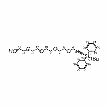 CC(C)(C)[Si](C#CCOCCOCCOCCOCCO)(c1ccccc1)c1ccccc1